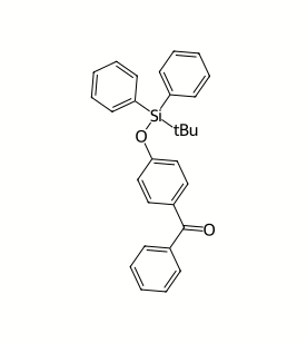 CC(C)(C)[Si](Oc1ccc(C(=O)c2ccccc2)cc1)(c1ccccc1)c1ccccc1